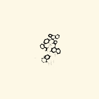 Cc1cc2c(cc1N1c3cc4ccccc4c4c3B(c3c1oc1ccccc31)N1c3ccccc3C3(c5ccccc5-c5ccccc53)c3cccc-4c31)C(C)(C)CCC2(C)C